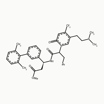 COC(=O)C[C@H](NC(=O)C(CC(C)C)n1cc(CCN(C)C)c(C(F)(F)F)cc1=O)c1cccc(-c2c(C)cccc2C)c1